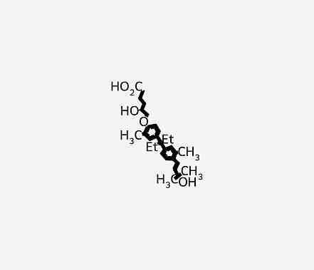 CCC(CC)(c1ccc(C=CC(C)(C)O)c(C)c1)c1ccc(OC[C@H](O)CCCC(=O)O)c(C)c1